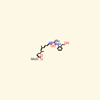 COC1=CCC(C(C)C=C(C)C=CC=CC(=O)NC(C(=O)Nc2ccccc2CCO)C(C)(C)C)OC1=O